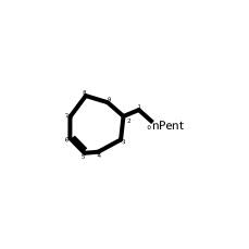 CCCCCCC1CC/C=C\CCC1